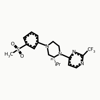 CC(C)[C@@H]1CN(c2cccc(S(C)(=O)=O)c2)CCN1c1ccnc(C(F)(F)F)n1